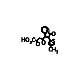 Cc1csc(C2C(=O)N3C=CC=CC3=C2C(=O)CC(=O)C(=O)O)c1